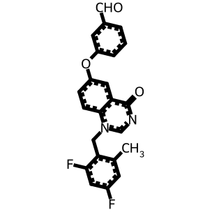 Cc1cc(F)cc(F)c1Cn1cnc(=O)c2cc(Oc3cccc(C=O)c3)ccc21